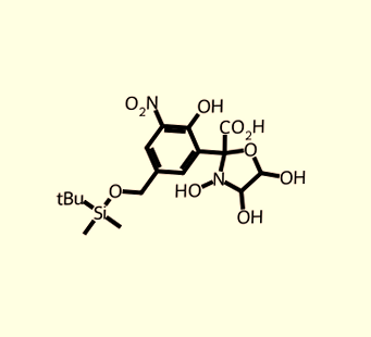 CC(C)(C)[Si](C)(C)OCc1cc([N+](=O)[O-])c(O)c(C2(C(=O)O)OC(O)C(O)N2O)c1